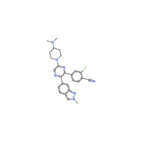 CN(C)C1CCN(c2cnc(-c3ccc4cn(C)nc4c3)c(-c3ccc(C#N)c(F)c3)n2)CC1